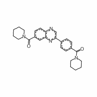 O=C(c1ccc(-c2cnc3ccc(C(=O)N4CCCCC4)cc3n2)cc1)N1CCCCC1